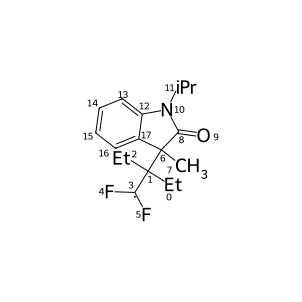 CCC(CC)([C](F)F)C1(C)C(=O)N(C(C)C)c2ccccc21